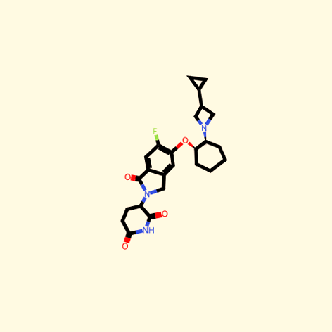 O=C1CCC(N2Cc3cc(O[C@@H]4CCCC[C@@H]4N4CC(C5CC5)C4)c(F)cc3C2=O)C(=O)N1